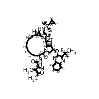 Cc1onc(C(=O)N[C@H]2CCCCC/C=C\[C@@H]3C[C@@]3(C(=O)NS(=O)(=O)C3CC3)NC(=O)[C@@H]3C[C@@H](Oc4nc5ccccc5nc4C(C)(F)F)CN3C2=O)c1C